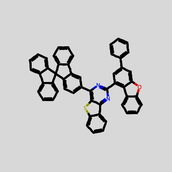 c1ccc(-c2cc(-c3nc(-c4ccc5c(c4)-c4ccccc4C54c5ccccc5-c5ccccc54)c4sc5ccccc5c4n3)c3c(c2)oc2ccccc23)cc1